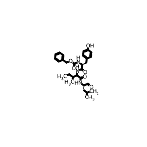 CCC(C)C(NC(=O)[C@H](Cc1ccc(O)cc1)NC(=O)OCc1ccccc1)C(=O)N[C@H](C=O)CC(C)C